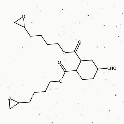 O=CC1CCC(C(=O)OCCCCC2CO2)C(C(=O)OCCCCC2CO2)C1